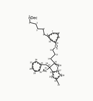 CCCCCCCCCCCCCCCc1cccc(OCCCC2=Nn3nc(C)nc3C2(Cc2ccccc2)C(C)=O)c1